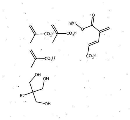 C=C(C)C(=O)O.C=C(C)C(=O)O.C=C(C)C(=O)O.C=C(C=CC(=O)O)C(=O)OCCCC.CCC(CO)(CO)CO